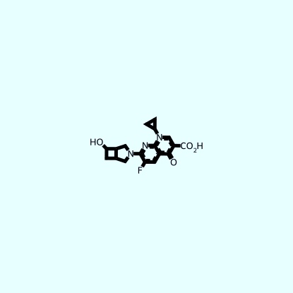 O=C(O)c1cn(C2CC2)c2nc(N3CC4CC(O)C4C3)c(F)cc2c1=O